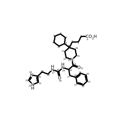 O=C(O)CCCC1(C2CCCCC2)CCN(C(=O)C(Cc2ccccc2)NC(=O)NCCc2c[nH]cn2)CC1